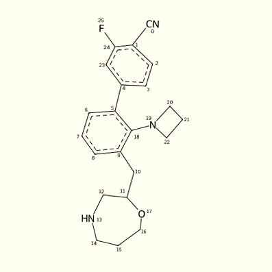 N#Cc1ccc(-c2cccc(CC3CNCCCO3)c2N2CCC2)cc1F